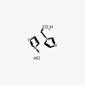 Cl.Cn1ccnc1.O=C(O)Cn1ccnc1